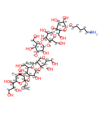 CC(=O)NC1[C@H](O[C@@H]2C(O)[C@@H](O[C@H]3C(CO)O[C@@H](O[C@@H]4C(CO)O[C@@H](OCCCCCN)C(O)[C@H]4O)C(O)[C@H]3O)OC(CO)[C@@H]2O)OC(CO)[C@H](O)[C@@H]1O[C@@H]1OC(CO)[C@H](O)[C@H](O[C@]2(OC=O)C[C@@H](O)[C@@H](C)C([C@H](O)[C@H](O)CO)O2)C1O